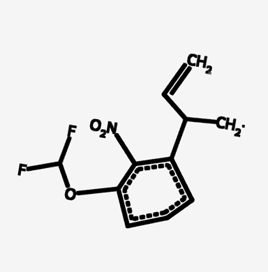 [CH2]C(C=C)c1cccc(OC(F)F)c1[N+](=O)[O-]